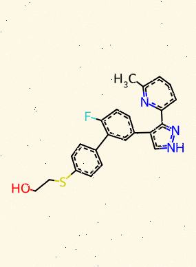 Cc1cccc(-c2n[nH]cc2-c2ccc(F)c(-c3ccc(SCCO)cc3)c2)n1